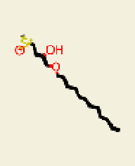 CCCCCCCCCCCCOCC(O)CC[S+](C)[O-]